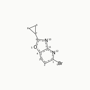 Brc1ccc2oc(C3CC3)nc2n1